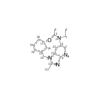 CCN(C(C)=O)c1cnc2nc(C)n(Cc3ccccc3)c2c1